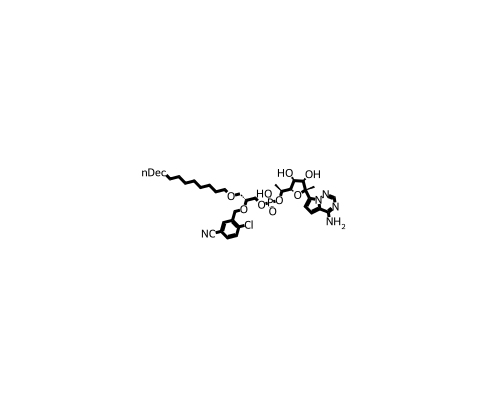 CCCCCCCCCCCCCCCCCCOC[C@H](COP(=O)(O)O[C@@H](C)[C@H]1O[C@@](C)(c2ccc3c(N)ncnn23)[C@H](O)[C@@H]1O)OCc1cc(C#N)ccc1Cl